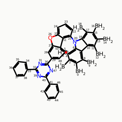 Bc1c(B)c(B)c2c(c1B)c1c(B)c(B)c(B)c(B)c1n2-c1cccc2oc3cc(-c4nc(-c5ccccc5)nc(-c5ccccc5)n4)ccc3c12